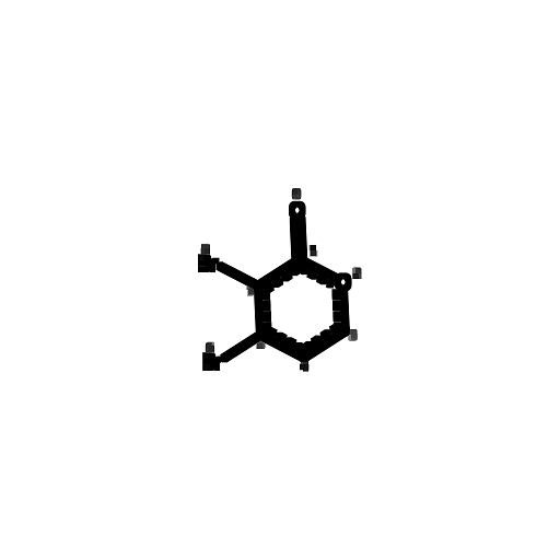 O=c1occc(Br)c1Br